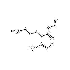 C=COC(=O)CCCCC(=O)O.CC=CC(=O)O